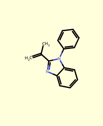 C=C(C)c1nc2ccccc2n1-c1ccccc1